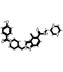 Cc1c(C(=O)NC[C@H]2COCCO2)ccc2nn(CC3CCN(C(=O)c4ccc(Cl)cc4)CC3)cc12